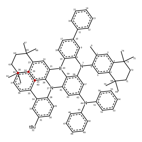 Cc1cc2c(cc1N1c3cc(-c4ccccc4)ccc3B3c4cc5c(cc4N(c4ccc(C(C)(C)C)cc4-c4ccccc4)c4cc(N(c6ccccc6)c6ccccc6)cc1c43)C(C)(C)CCC5(C)C)C(C)(C)CCC2(C)C